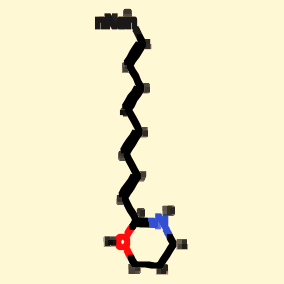 CCCCCCCCCC=CC=CC=CC=CC1=NCCCO1